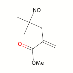 C=C(CC(C)(C)N=O)C(=O)OC